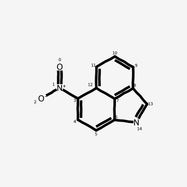 O=[N+]([O-])c1ccc2c3c(cccc13)C=N2